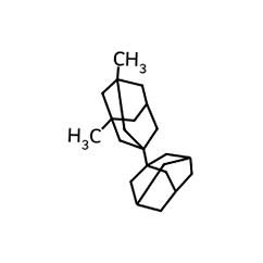 CC12CC3CC(C)(C1)CC(C14CC5CC(CC(C5)C1)C4)(C3)C2